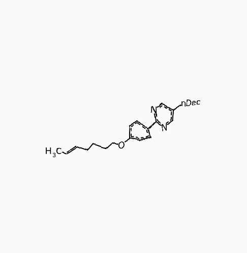 CC=CCCCCOc1ccc(-c2ncc(CCCCCCCCCC)cn2)cc1